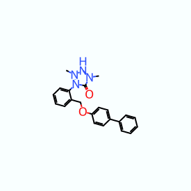 CN1NN(C)N(c2ccccc2COc2ccc(-c3ccccc3)cc2)C1=O